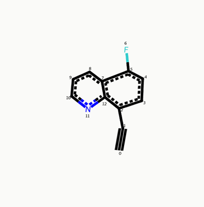 [C]#Cc1ccc(F)c2cccnc12